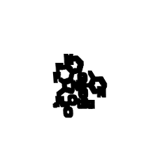 Cc1ccncc1S(=O)(=O)n1cc(CN(C)C(=O)OC(C)(C)C)c(F)c1-c1cccnc1F